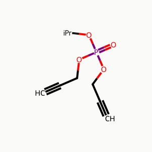 C#CCOP(=O)(OCC#C)OC(C)C